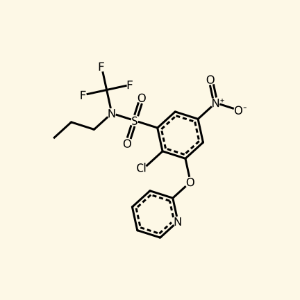 CCCN(C(F)(F)F)S(=O)(=O)c1cc([N+](=O)[O-])cc(Oc2ccccn2)c1Cl